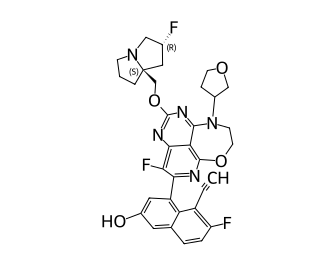 C#Cc1c(F)ccc2cc(O)cc(-c3nc4c5c(nc(OC[C@@]67CCCN6C[C@H](F)C7)nc5c3F)N(C3CCOC3)CCO4)c12